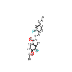 CCCc1ccc(CCCC(=O)c2ccc(OCC)c(F)c2C)c(F)c1